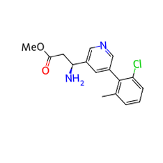 COC(=O)C[C@H](N)c1cncc(-c2c(C)cccc2Cl)c1